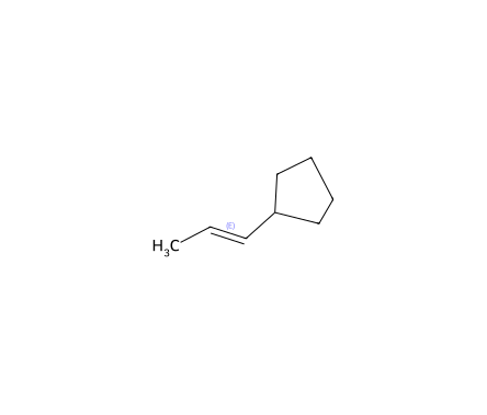 C/C=C/C1CCCC1